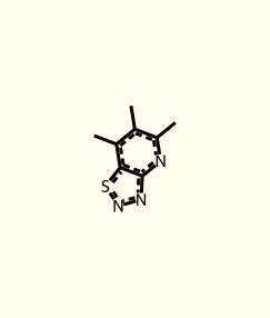 Cc1nc2nnsc2c(C)c1C